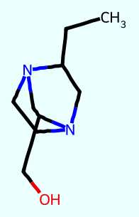 CCC1CN2CCN1CC2CO